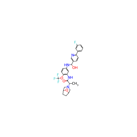 CC(C(=O)Nc1cc(NC(O)c2ccc(-c3cccc(F)c3)nc2)ccc1OC(F)(F)F)N1CC2CCC(C1)O2